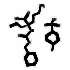 C=CC[C@](CCCN)(NC(=O)OCc1ccccc1)C(=O)O.Cc1ccc(S(=O)(=O)O)cc1